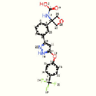 O=C(O)NC1(c2cccc(-c3cc(Oc4ccc(C(F)(F)F)cc4)[nH]n3)c2)COC1